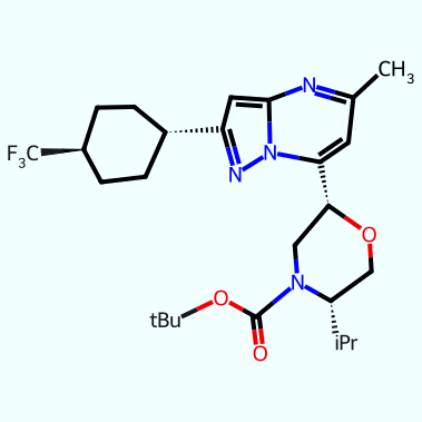 Cc1cc([C@H]2CN(C(=O)OC(C)(C)C)[C@@H](C(C)C)CO2)n2nc([C@H]3CC[C@H](C(F)(F)F)CC3)cc2n1